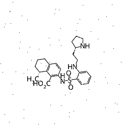 C[C@@H]1CCCc2ccc(NS(=O)(=O)c3ccccc3NCC[C@H]3CCCN3)c(C(=O)O)c21